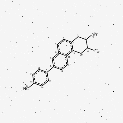 CCCC1Cc2ccc3cc(-c4ccc(C#N)cc4)ccc3c2CC1F